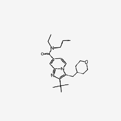 CCCN(CC)C(=O)c1ccn2c(CC3CCOCC3)c(C(C)(C)C)nc2c1